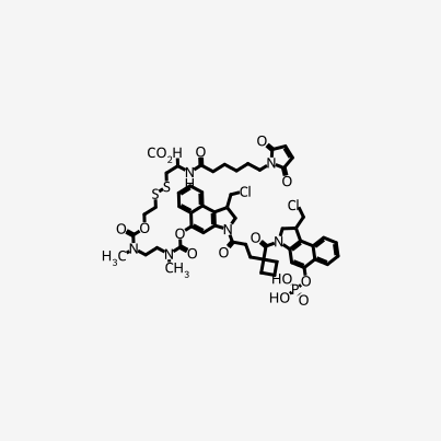 CN(CCN(C)C(=O)Oc1cc2c(c3ccccc13)C(CCl)CN2C(=O)CCC1(C(=O)N2CC(CCl)c3c2cc(OP(=O)(O)O)c2ccccc32)CCC1)C(=O)OCCSSCC(NC(=O)CCCCCN1C(=O)C=CC1=O)C(=O)O